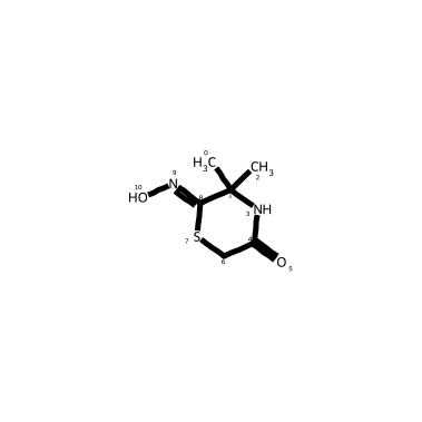 CC1(C)NC(=O)CS/C1=N\O